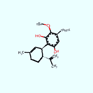 C=C(C)[C@@H]1CCC(C)=C[C@H]1c1c(O)cc(CCCCC)c(OCCCC)c1O